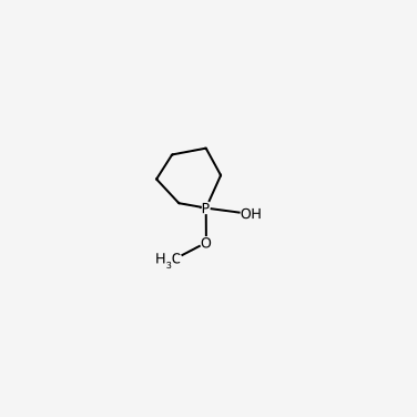 CO[P]1(O)CCCCC1